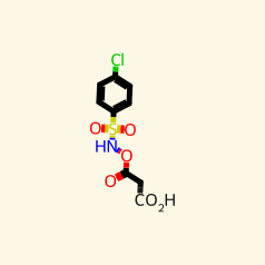 O=C(O)CC(=O)ONS(=O)(=O)c1ccc(Cl)cc1